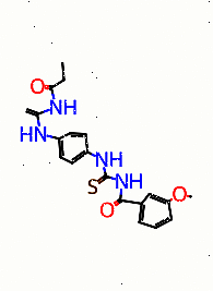 C=C(NC(=O)CC)Nc1ccc(NC(=S)NC(=O)c2cccc(OC)c2)cc1